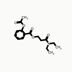 CCN(CC)C(=O)CCOC(=O)c1ccccc1OC(C)=O